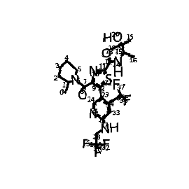 CC1CCCCN1C(=O)c1nc(C(=O)NC(C)C(C)(C)O)sc1-c1cnc(NCC(F)(F)F)cc1C(F)F